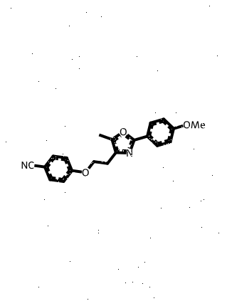 COc1ccc(-c2nc(CCOc3ccc(C#N)cc3)c(C)o2)cc1